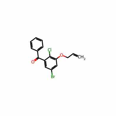 C=CCOc1cc(Br)cc(C(=O)c2ccccc2)c1Cl